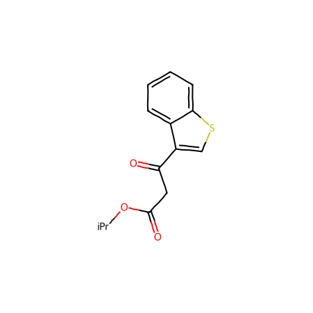 CC(C)OC(=O)CC(=O)c1csc2ccccc12